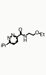 CCOCCNC(=O)c1ccc(C(C)C)nn1